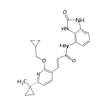 CC1(c2ccc(/C=C/C(=O)Nc3cccc4[nH]c(=O)[nH]c34)c(OCC3CC3)n2)CC1